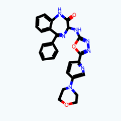 O=C1Nc2ccccc2C(c2ccccc2)=NC1Nc1nnc(-c2ccc(N3CCOCC3)cn2)o1